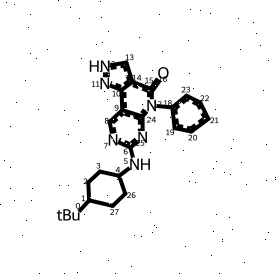 CC(C)(C)C1CCC(Nc2ncc3c4n[nH]cc4c(=O)n(-c4ccccc4)c3n2)CC1